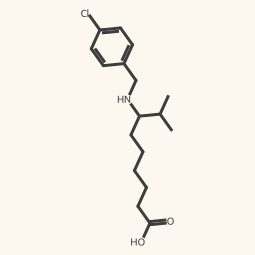 CC(C)C(CCCCCC(=O)O)NCc1ccc(Cl)cc1